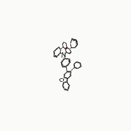 c1ccc(-c2ccc(N(c3ccc(-c4cc5oc6ccccc6c5cc4-c4ccccc4)cc3)c3ccccc3-c3ccccc3)cc2)cc1